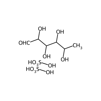 CC(O)C(O)C(O)C(O)C=O.O=S(=O)(O)O.O=S(=O)(O)O